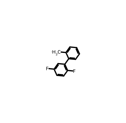 [CH2]c1ccccc1-c1cc(F)ccc1F